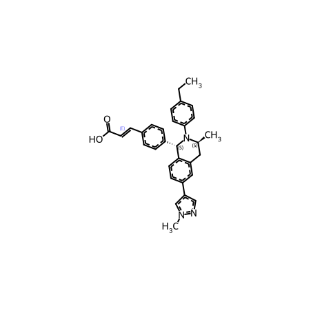 CCc1ccc(N2[C@@H](c3ccc(/C=C/C(=O)O)cc3)c3ccc(-c4cnn(C)c4)cc3C[C@@H]2C)cc1